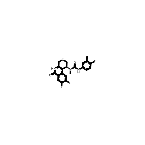 Cc1cc(NC(=O)N(C)[C@@H]2COCc3[nH]c(=O)c4cc(F)c(F)cc4c32)ccc1F